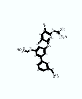 CC[C@@H](Oc1nc(Oc2cc(OCC(=O)O)cc(-c3cccc(CN)c3)c2)c(F)cc1F)C(=O)O